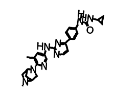 Cc1cc(Nc2nccc(-c3ccc(NC(=O)NC4CC4)cc3)n2)cnc1N1CC2CC1CN2C